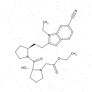 CCOC(=O)CN1CCC[C@@]1(O)C(=O)N1CCC[C@H]1CCc1cc2ccc(C#N)cc2n1CC